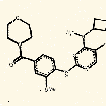 COc1cc(C(=O)N2CCOCC2)ccc1Nc1ncc(Cl)c(N(C)C2CCC2)n1